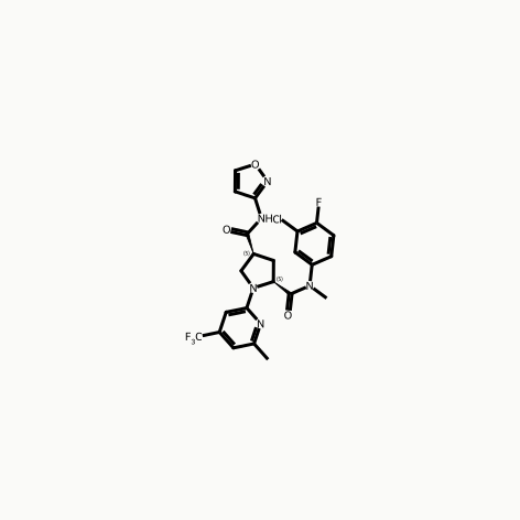 Cc1cc(C(F)(F)F)cc(N2C[C@@H](C(=O)Nc3ccon3)C[C@H]2C(=O)N(C)c2ccc(F)c(Cl)c2)n1